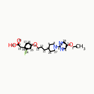 CCOc1cnc(N2CCC(CCCOc3ccc(CC(=O)O)c(F)c3)CC2)nc1